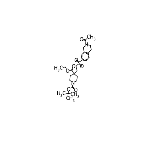 CCOC(=O)C1(CCS(=O)(=O)c2ccc3c(c2)CN(C(C)=O)CC3)CCN(C(=O)OC(C)(C)C)CC1